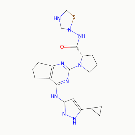 O=C(NN1CNCS1)[C@@H]1CCCN1c1nc2c(c(Nc3cc(C4CC4)[nH]n3)n1)CCC2